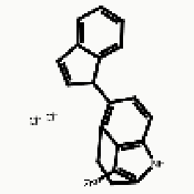 [Cl-].[Cl-].[Zr+2][c]1c2[nH]c3ccc(C4C=Cc5ccccc54)c(c13)CC2